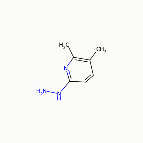 Cc1ccc(NN)nc1C